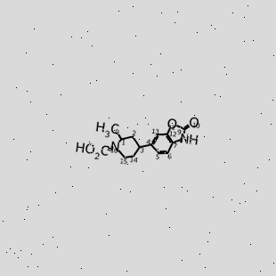 CC1CC(c2ccc3[nH]c(=O)oc3c2)CCN1C(=O)O